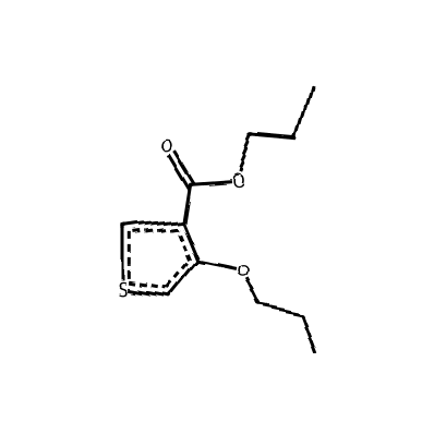 CCCOC(=O)c1cscc1OCCC